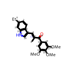 CCc1ccc2c(/C=C(\C)C(=O)c3cc(OC)c(OC)c(OC)c3)c[nH]c2c1